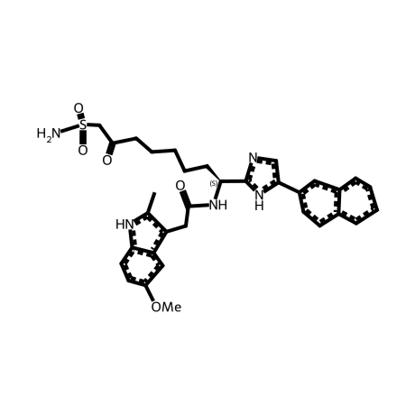 COc1ccc2[nH]c(C)c(CC(=O)N[C@@H](CCCCCC(=O)CS(N)(=O)=O)c3ncc(-c4ccc5ccccc5c4)[nH]3)c2c1